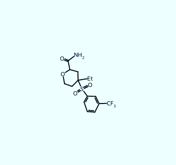 CCC1(S(=O)(=O)c2cccc(C(F)(F)F)c2)CCOC(C(N)=O)C1